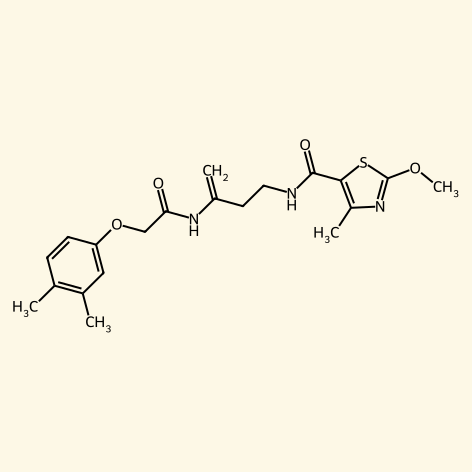 C=C(CCNC(=O)c1sc(OC)nc1C)NC(=O)COc1ccc(C)c(C)c1